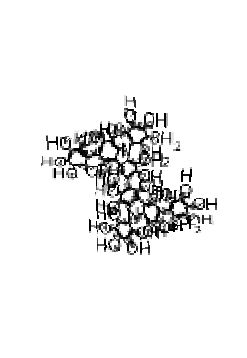 Bc1c(B)c(-n2c3c(O)c(O)c(-c4c(O)c(O)c(O)c(O)c4O)c(O)c3c3c(O)c(-c4c(O)c(O)c5c(c4O)c4c(O)c(-c6c(B)c(O)c(O)c(O)c6O)c(O)c(O)c4n5-c4c(O)c(O)c(O)c(O)c4O)c(O)c(O)c32)c(O)c(O)c1O